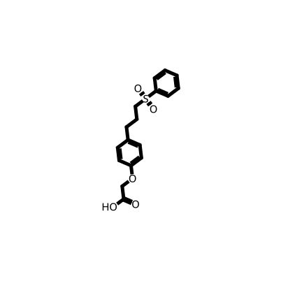 O=C(O)COc1ccc(CCCS(=O)(=O)c2ccccc2)cc1